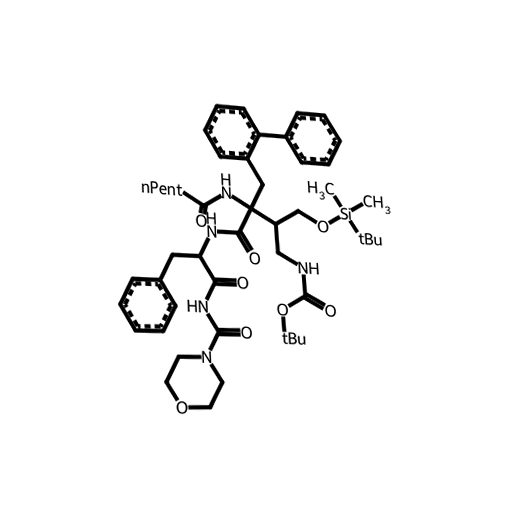 CCCCCC(=O)NC(Cc1ccccc1-c1ccccc1)(C(=O)NC(Cc1ccccc1)C(=O)NC(=O)N1CCOCC1)C(CNC(=O)OC(C)(C)C)CO[Si](C)(C)C(C)(C)C